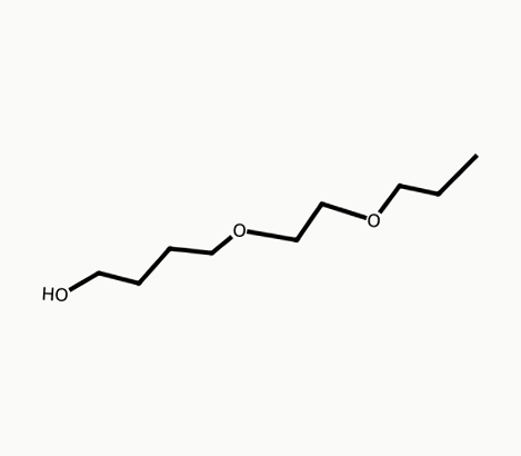 CCCOCCOCCCCO